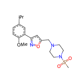 COc1ccc(C(C)C)cc1-c1cc(CN2CCN(S(C)(=O)=O)CC2)on1